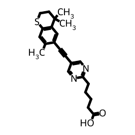 Cc1cc2c(cc1C#Cc1cnc(CCCCC(=O)O)nc1)C(C)(C)CCS2